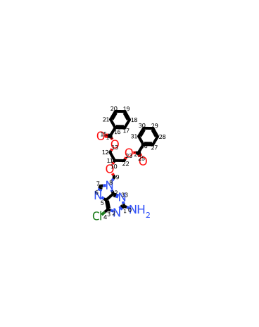 Nc1nc(Cl)c2ncn(COC(COC(=O)c3ccccc3)COC(=O)c3ccccc3)c2n1